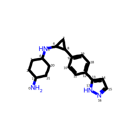 NC1CCC(NC2CC2c2ccc(-c3ccn[nH]3)cc2)CC1